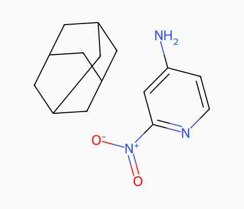 C1C2CC3CC1CC(C2)C3.Nc1ccnc([N+](=O)[O-])c1